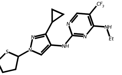 CCNc1nc(Nc2cn(C3CCOS3)nc2C2CC2)ncc1C(F)(F)F